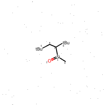 C[Si](=O)C(CC(C)(C)C)C(C)(C)C